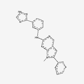 Cn1c(-c2cccnc2)cc2cnc(Nc3cccc(-c4nc[nH]n4)c3)cc21